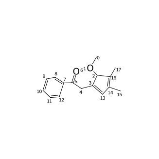 COC1C(CC(=O)c2ccccc2)=CC(C)=C1C